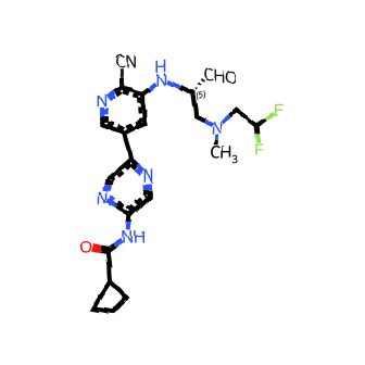 CN(CC(F)F)C[C@@H](C=O)Nc1cc(-c2cnc(NC(=O)C3CCC3)cn2)cnc1C#N